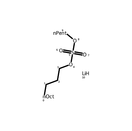 CCCCCCCCCCCOS(=O)(=O)OCCCCC.[LiH]